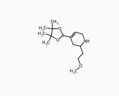 COCCC1CC(B2OC(C)(C)C(C)(C)O2)=CCN1